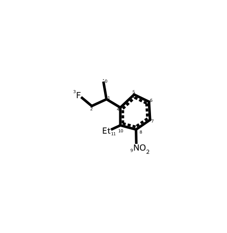 [CH2]C(CF)c1cccc([N+](=O)[O-])c1CC